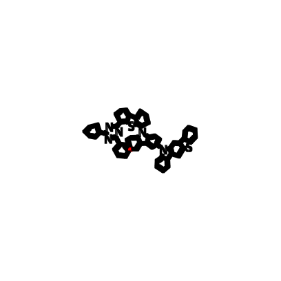 c1ccc(-c2nc(-c3ccccc3)nc(-c3cccc4c3sc3c(-n5c6ccccc6c6cc(-n7c8ccccc8c8cc9sc%10ccccc%10c9cc87)ccc65)cccc34)n2)cc1